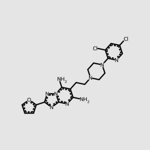 Nc1nc2nc(-c3ccco3)nn2c(N)c1CCN1CCN(c2ncc(Cl)cc2Cl)CC1